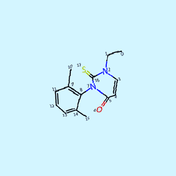 CCn1ccc(=O)n(-c2c(C)cccc2C)c1=S